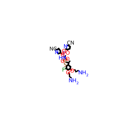 Cc1c(S(=O)(=O)NCP(=O)(Oc2ccc(C#N)nc2)Oc2ccc(C#N)nc2)sc2c(F)c(OCCCN)c(OCCCN)cc12